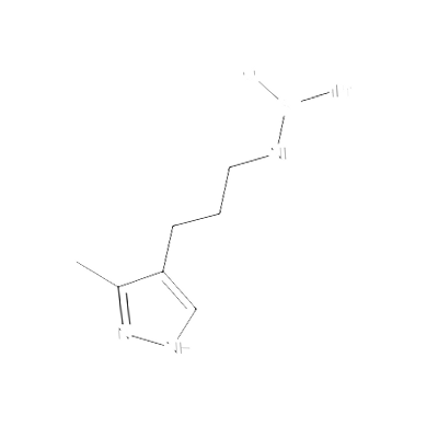 Cc1n[nH]cc1CCCN[S+]([O-])C(C)C